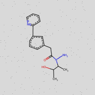 CC(O)C(C)N(N)C(=O)Cc1cccc(-c2ccccn2)c1